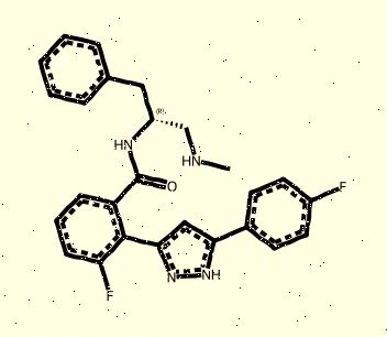 CNC[C@@H](Cc1ccccc1)NC(=O)c1cccc(F)c1-c1cc(-c2ccc(F)cc2)[nH]n1